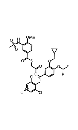 COc1ccc(C(=O)SCC(=O)O[C@@H](Cc2c(Cl)c[n+]([O-])cc2Cl)c2ccc(OC(F)F)c(OCC3CC3)c2)cc1NS(C)(=O)=O